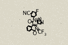 Cn1cc([C@H]2[C@H](C(=O)Nc3cc(F)cc(C#N)c3)c3ccccc3C(=O)N2CC(F)(F)F)cn1